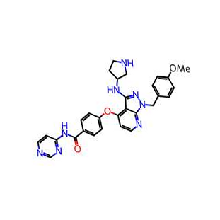 COc1ccc(Cn2nc(NC3CCNC3)c3c(Oc4ccc(C(=O)Nc5ccncn5)cc4)ccnc32)cc1